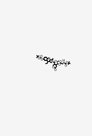 C=C1c2nc3ccc(OC(=O)OC(C)(C)C)cc3c(CC)c2CN1C(=O)C1=C([C@@H](CC)OC(=O)CNC(=O)OC(C)(C)C)CC(=O)OC1